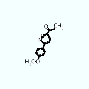 CCC(=O)c1ccc(-c2ccc(OC)cc2)nn1